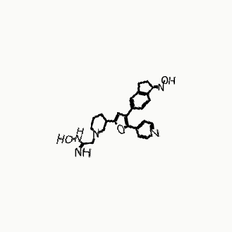 N=C(CN1CCCC(c2cc(-c3ccc4c(c3)CCC4=NO)c(-c3ccncc3)o2)C1)NO